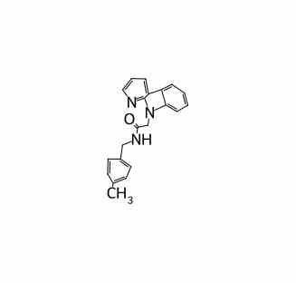 Cc1ccc(CNC(=O)Cn2c3ccccc3c3cccnc32)cc1